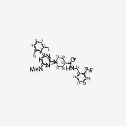 CNc1nc(-c2c(C)cccc2C)nc(N2CCC(C(=O)NCc3ccccc3CF)CC2)n1